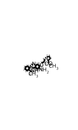 COC(=O)C1CCCN1CCCOc1cc2ncnc(NC(C)c3ccccc3)c2cc1N